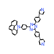 c1cc2ccc3cccc4c3c2c(c1)n4-c1ccc(-c2nc(-c3ccc(-c4ccncc4)cc3)nc(-c3ccc(-c4ccncc4)cc3)n2)cc1